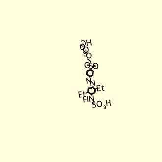 CCc1cc(NCS(=O)(=O)O)c(CC)cc1/N=N/c1ccc(S(=O)(=O)CCOSOOO)cc1